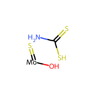 NC(=S)S.[OH][Mo]=[S]